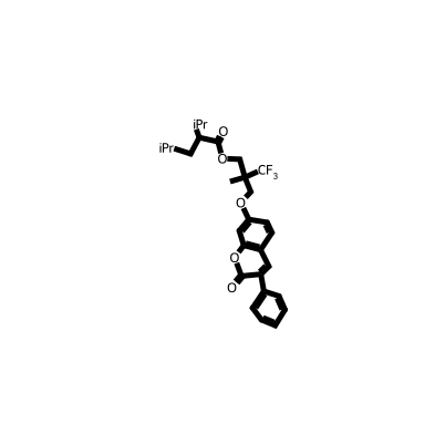 CC(C)CC(C(=O)OCC(C)(COc1ccc2cc(-c3ccccc3)c(=O)oc2c1)C(F)(F)F)C(C)C